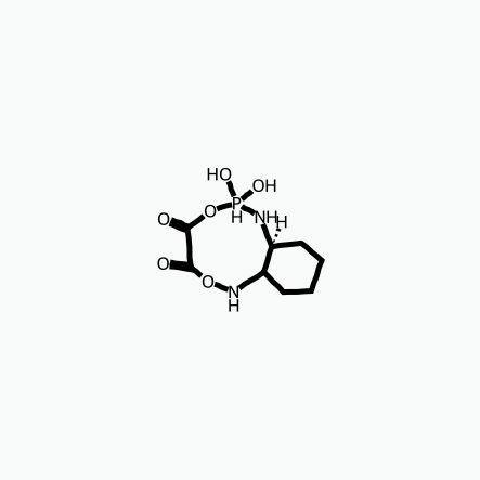 O=C1ONC2CCCC[C@@H]2N[PH](O)(O)OC1=O